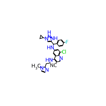 Cn1ccnc1CCNc1c(C#N)cnc2c(Cl)cc(NC(C3=CN(C4CC4)NN3)c3ccc(F)cc3)cc12